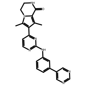 Cc1c(-c2ccnc(Nc3cccc(-c4cncnc4)c3)n2)c(C)n2c1C(=O)NCC2